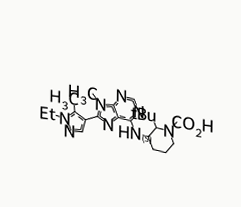 CCn1ncc(-c2nc3c(N[C@H]4CCCN(C(=O)O)C4C(C)(C)C)ncnc3n2C)c1C